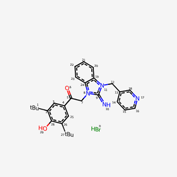 Br.CC(C)(C)c1cc(C(=O)Cn2c(=N)n(Cc3cccnc3)c3ccccc32)cc(C(C)(C)C)c1O